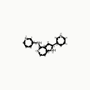 c1cncc(Nc2nccc3[nH]c(-c4cccnc4)cc23)c1